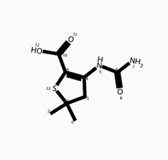 CC1(C)CC(NC(N)=O)=C(C(=O)O)S1